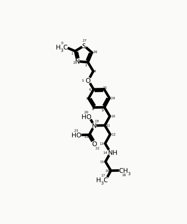 Cc1nc(COc2ccc(CC(CCNCC(C)C)N(O)C(=O)O)cc2)cs1